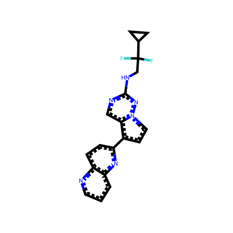 FC(F)(CNc1ncc2c(-c3ccc4ncccc4n3)ccn2n1)C1CC1